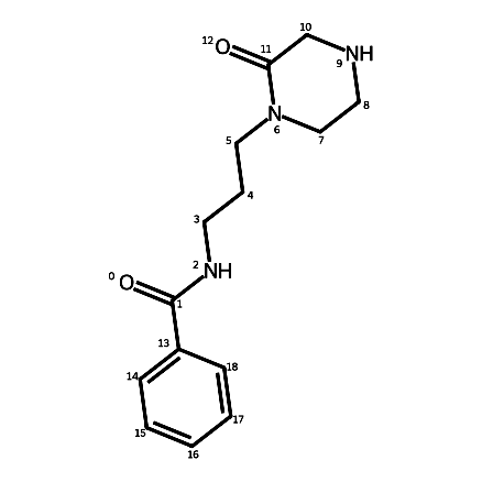 O=C(NCCCN1CCNCC1=O)c1ccccc1